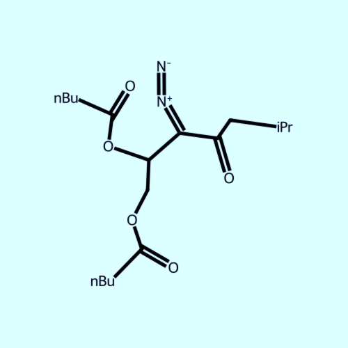 CCCCC(=O)OCC(OC(=O)CCCC)C(=[N+]=[N-])C(=O)CC(C)C